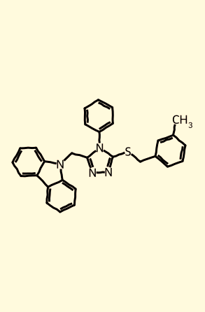 Cc1cccc(CSc2nnc(Cn3c4ccccc4c4ccccc43)n2-c2ccccc2)c1